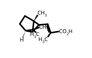 CC(=CC1C[C@H]2CC[C@@]1(C)C2(C)C)C(=O)O